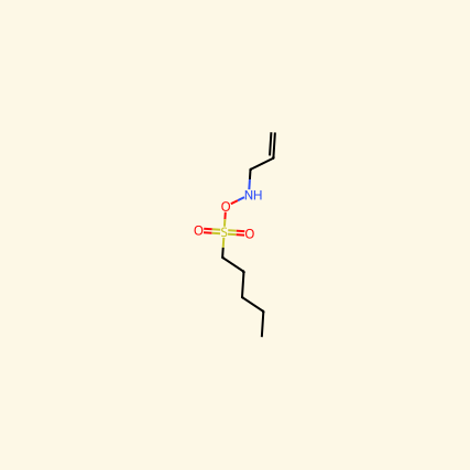 C=CCNOS(=O)(=O)CCCCC